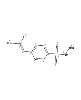 CC(C)(C)NS(=O)(=O)c1ccc(/C=[N+](\[O-])C(C)(C)C)cc1